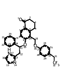 O=C1CCCc2c1ccc(O[C@@H](Cc1ncc[nH]1)c1ccccc1)c2COc1ccc(CC(F)(F)F)cc1